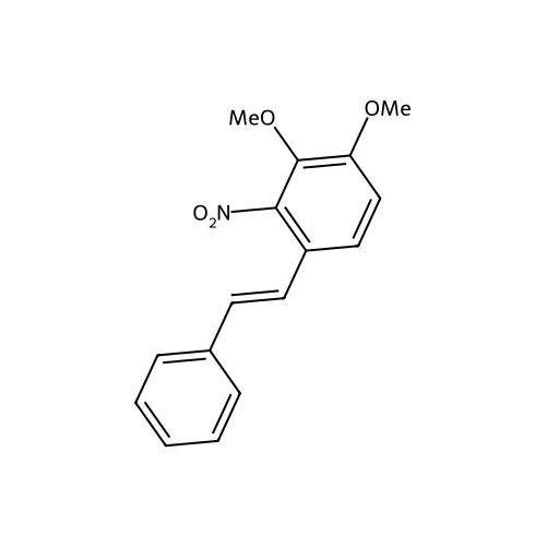 COc1ccc(C=Cc2ccccc2)c([N+](=O)[O-])c1OC